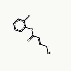 O=C(C=CCO)Oc1ccccc1F